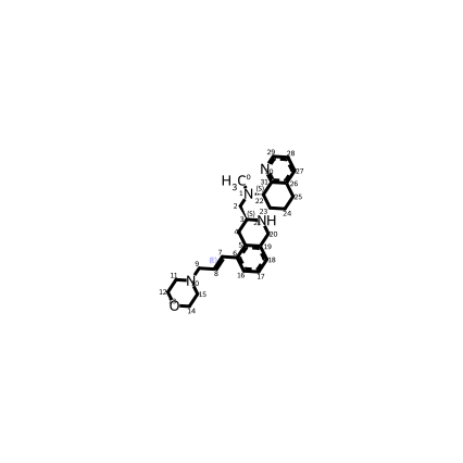 CN(C[C@@H]1Cc2c(/C=C/CN3CCOCC3)cccc2CN1)[C@H]1CCCc2cccnc21